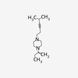 C=C(CC)N1CCN(CCC#CC(C)C)CC1